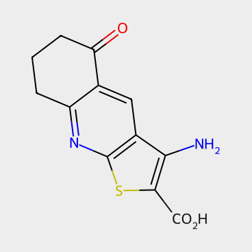 Nc1c(C(=O)O)sc2nc3c(cc12)C(=O)CCC3